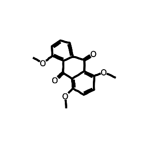 COc1cccc2c1C(=O)c1c(OC)ccc(OC)c1C2=O